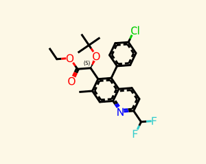 CCOC(=O)[C@@H](OC(C)(C)C)c1c(C)cc2nc(C(F)F)ccc2c1-c1ccc(Cl)cc1